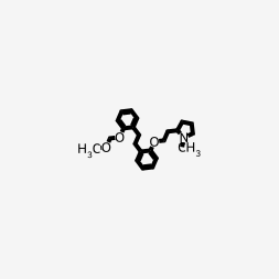 COCOc1ccccc1CCc1ccccc1OCCC1CCCN1C